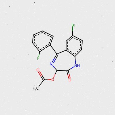 O=C1Nc2ccc(Br)cc2C(c2ccccc2F)=NC1OC(=O)C(F)(F)F